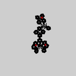 c1ccc(-c2nc(-c3cccc([Si](c4ccccc4)(c4ccccc4)c4ccccc4)c3)nc(-c3cccc([Si](c4ccccc4)(c4ccccc4)c4ccc(-c5cc(-c6ccccc6)c(-c6nc(-n7c8ccccc8c8ccccc87)nc(-n7c8ccccc8c8ccccc87)n6)c(-c6ccccc6)c5)cc4)c3)n2)cc1